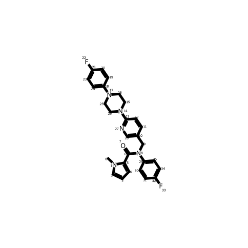 Cn1cccc1C(=O)N(Cc1ccc(N2CCN(c3ccc(F)cc3)CC2)nc1)c1ccc(F)cc1